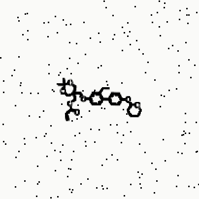 C=CC(=O)OCC1(COc2ccc(-c3ccc(OC4CCCCO4)cc3)c(CC)c2)COC(C)(C)OC1